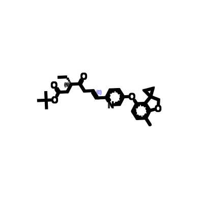 CC[C@@H](CC(=O)OC(C)(C)C)C(=O)C/C=C/c1ccc(Oc2ccc(C)c3c2C2(CC2)CO3)cn1